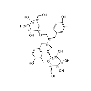 Cc1cc(C[C@H](CO[C@@H]2O[C@H](CO)[C@@H](O)[C@H](O)[C@H]2O)[C@@H](CO[C@@H]2O[C@H](CO)[C@@H](O)[C@H](O)[C@H]2O)Cc2ccc(O)c(C)c2)ccc1O